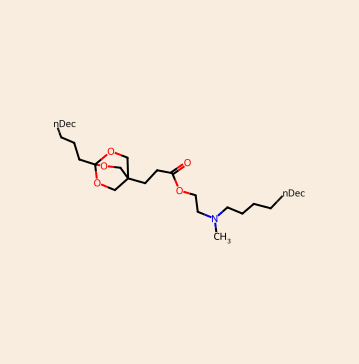 CCCCCCCCCCCCCCN(C)CCOC(=O)CCC12COC(CCCCCCCCCCCCC)(OC1)OC2